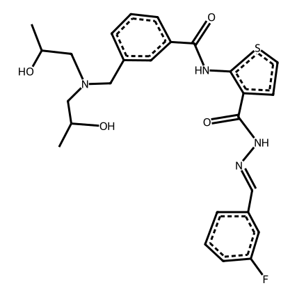 CC(O)CN(Cc1cccc(C(=O)Nc2sccc2C(=O)NN=Cc2cccc(F)c2)c1)CC(C)O